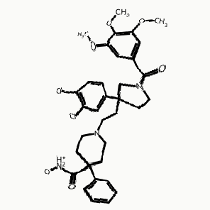 COc1cc(C(=O)N2CCC(CCN3CCC(C(=O)[NH2+][O-])(c4ccccc4)CC3)(c3ccc(Cl)c(Cl)c3)C2)cc(OC)c1OC